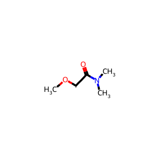 CO[CH]C(=O)N(C)C